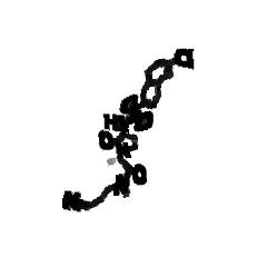 C[C@@H](C(=O)N(C)CCC#N)N1CC[C@H](NS(=O)(=O)c2ccc3cc(Cl)ccc3c2)C1=O